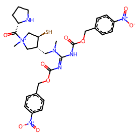 CN(C[C@@H]1C[N+](C)(C(=O)[C@@H]2CCCN2)C[C@H]1S)C(=NC(=O)OCc1ccc([N+](=O)[O-])cc1)NC(=O)OCc1ccc([N+](=O)[O-])cc1